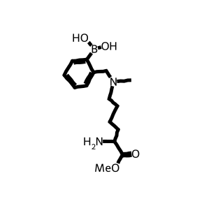 COC(=O)C(N)CCCCN(C)Cc1ccccc1B(O)O